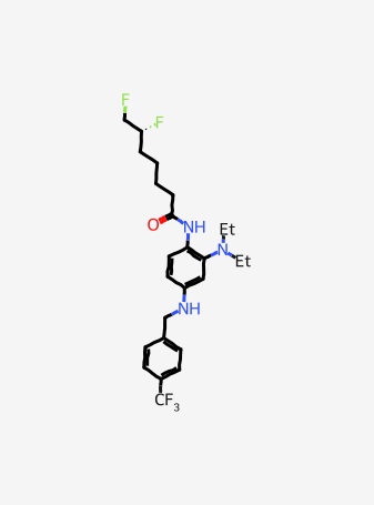 CCN(CC)c1cc(NCc2ccc(C(F)(F)F)cc2)ccc1NC(=O)CCCC[C@@H](F)CF